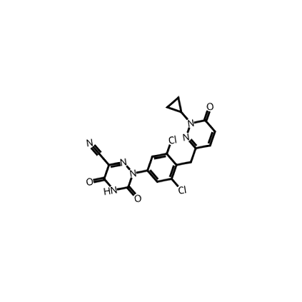 N#Cc1nn(-c2cc(Cl)c(Cc3ccc(=O)n(C4CC4)n3)c(Cl)c2)c(=O)[nH]c1=O